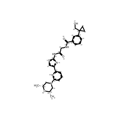 C[C@@H]1CN(c2cccc(-c3csc(NC(=O)CNC(=O)c4cccc(C5(CO)CC5)c4)n3)n2)C[C@H](C)O1